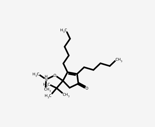 CCCCCC1=C(CCCCC)C(O[SiH](C)C)(C(C)(C)C)CC1=O